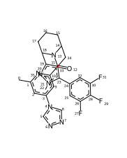 Cc1cc(-n2cnnc2)cc(C(=O)N2C3CCCC2c2nn(C)c(-c4cc(F)c(F)c(F)c4)c2C3)n1